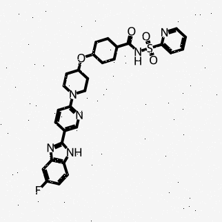 O=C(NS(=O)(=O)c1ccccn1)C1CCC(OC2CCN(c3ccc(-c4nc5cc(F)ccc5[nH]4)cn3)CC2)CC1